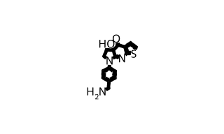 NCc1ccc(N2CCC3(O)C(=O)c4ccsc4N=C23)cc1